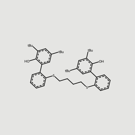 CC(C)(C)c1cc(-c2ccccc2SCCCCSc2ccccc2-c2cc(C(C)(C)C)cc(C(C)(C)C)c2O)c(O)c(C(C)(C)C)c1